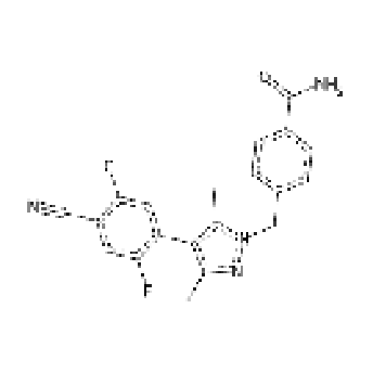 Cc1nn(Cc2ccc(C(N)=O)cc2)c(C)c1-c1cc(Cl)c(C#N)cc1F